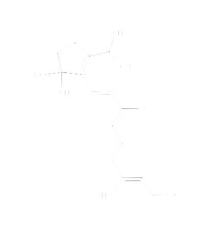 CC(C=CC1=C(C(C)O)CCC1(C)C)=CC=CC(C)=CCO